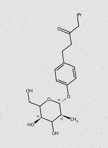 CC(C)CC(=O)CCc1ccc(O[C@H]2OC(CO)[C@H](O)C(O)[C@@H]2C)cc1